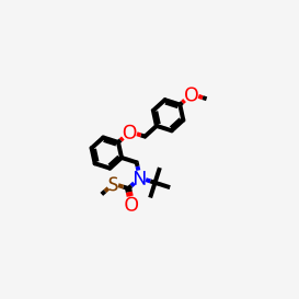 COc1ccc(COc2ccccc2CN(C(=O)SC)C(C)(C)C)cc1